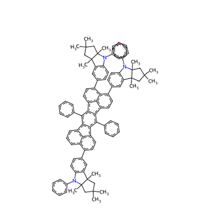 CC1(C)CC2(C)c3cc(-c4ccc5c6c(-c7ccccc7)c7c8ccc(-c9ccc%10c(c9)C9(C)CC(C)(C)CC9(C)N%10c9ccccc9)c9c(-c%10ccc%11c(c%10)C%10(C)CC(C)(C)CC%10(C)N%11c%10ccccc%10)ccc(c7c(-c7ccccc7)c6c6cccc4c65)c98)ccc3N(c3ccccc3)C2(C)C1